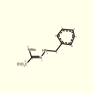 CCOC(=O)/C(=N/NCc1ccccc1)NC